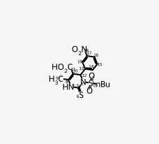 CCCCS(=O)(=O)N1C(=S)NC(C)=C(C(=O)O)C1c1cccc([N+](=O)[O-])c1